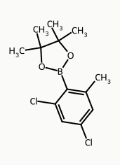 Cc1cc(Cl)cc(Cl)c1B1OC(C)(C)C(C)(C)O1